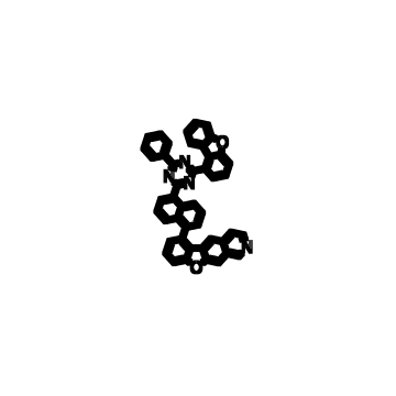 c1ccc(-c2nc(-c3cccc4c(-c5cccc6oc7cc8cnccc8cc7c56)cccc34)nc(-c3cccc4oc5ccccc5c34)n2)cc1